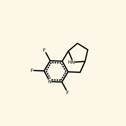 Fc1nc(F)c2c(c1F)C1CCC(C2)N1